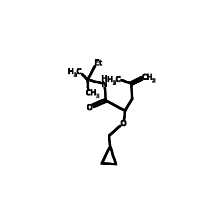 C=C(C)CC(OCC1CC1)C(=O)NC(C)(C)CC